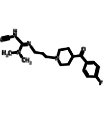 CN(C)/C(=N\CCCN1CCC(C(=O)c2ccc(F)cc2)CC1)NC#N